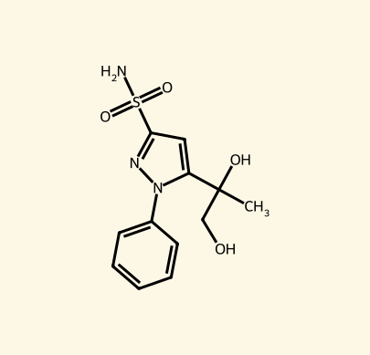 CC(O)(CO)c1cc(S(N)(=O)=O)nn1-c1ccccc1